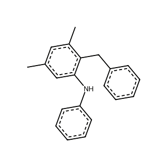 Cc1cc(C)c(Cc2ccccc2)c(Nc2ccccc2)c1